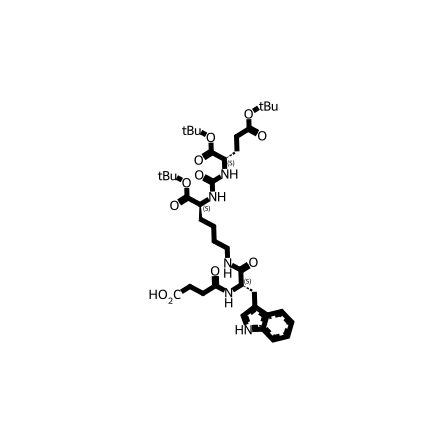 CC(C)(C)OC(=O)CC[C@H](NC(=O)N[C@@H](CCCCNC(=O)[C@H](Cc1c[nH]c2ccccc12)NC(=O)CCC(=O)O)C(=O)OC(C)(C)C)C(=O)OC(C)(C)C